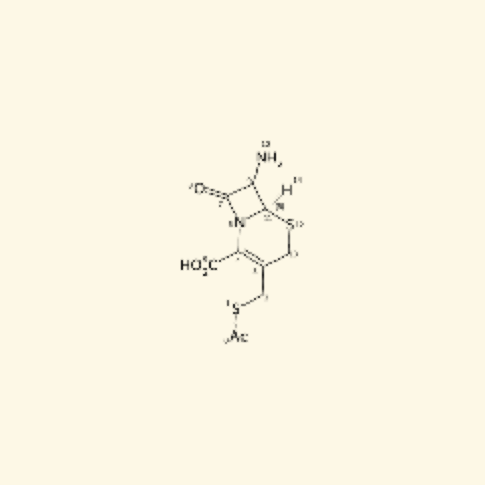 CC(=O)SCC1=C(C(=O)O)N2C(=O)C(N)[C@H]2SC1